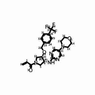 C=CC(=O)N1C[C@@H](Nc2ncc(N3CCOCC3)cn2)[C@H](OCc2ccc(C(F)(F)F)cc2)C1